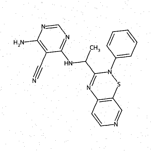 CC(Nc1ncnc(N)c1C#N)C1=Nc2ccncc2SN1c1ccccc1